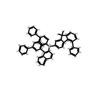 CC1(C)c2cc(N(c3ccc(-c4ccccc4)cc3)c3ccc4ccccc4c3-c3cccc(-c4ccccc4)c3)ccc2-c2c(-c3ccccc3)cccc21